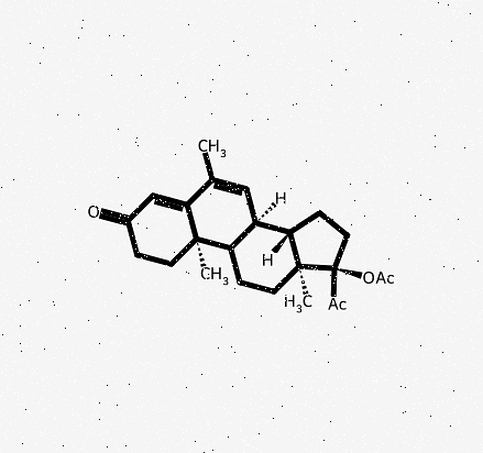 CC(=O)O[C@]1(C(C)=O)CC[C@H]2[C@@H]3C=C(C)C4=CC(=O)CC[C@]4(C)C3CC[C@@]21C